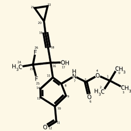 CC(C)(C)OC(=O)Nc1cc(C=O)ccc1C(O)(C#CC1CC1)C(C)(F)F